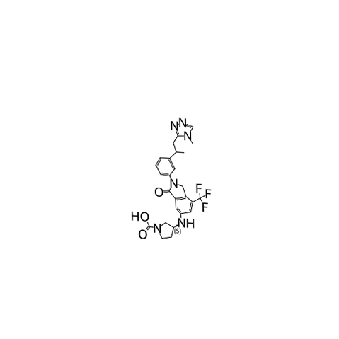 CC(Cc1nncn1C)c1cccc(N2Cc3c(cc(N[C@H]4CCN(C(=O)O)C4)cc3C(F)(F)F)C2=O)c1